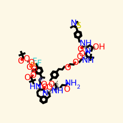 C/C(=C\C(=O)N[C@H]1CCc2cccc3c2N(C1=O)[C@H](C(=O)N[C@@H](CCC(N)=O)[C@@H](C)OCc1ccc(CCCOCCOCC(=O)N[C@H](C(=O)N2C[C@H](O)C[C@H]2C(=O)NCc2ccc(-c4scnc4C)cc2)C(C)(C)C)cc1)C3)c1ccc(C(F)(F)P(=O)(OCOC(=O)C(C)(C)C)OCOC(=O)C(C)(C)C)cc1